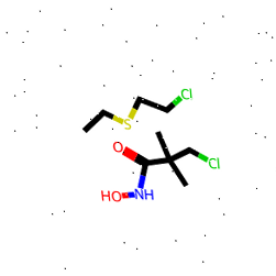 CC(C)(CCl)C(=O)NO.CCSCCCl